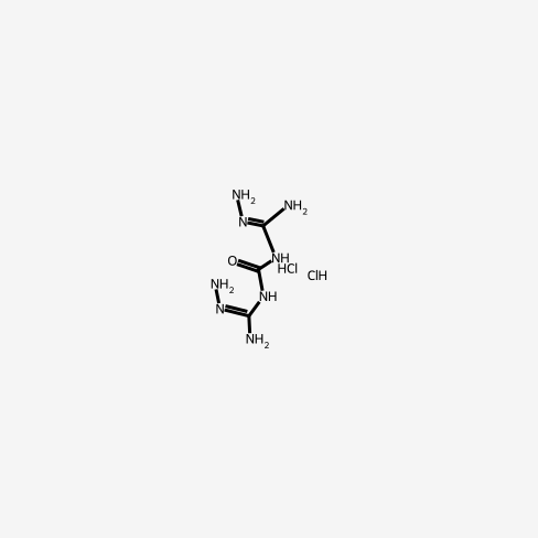 Cl.Cl.NN=C(N)NC(=O)NC(N)=NN